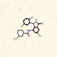 O=C1NC(c2cc(F)ccc2Cl)c2c(NC(=O)C3CCCC(C(F)(F)F)C3)cc(Br)cc21